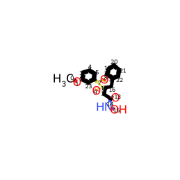 COc1cccc(S(=O)(=O)C(CC(=O)NO)Cc2ccccc2)c1